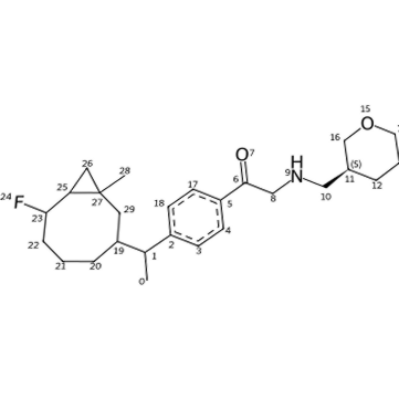 CC(c1ccc(C(=O)CNC[C@@H]2CCCOC2)cc1)C1CCCC(F)C2CC2(C)C1